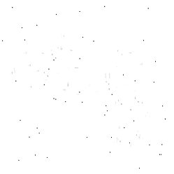 COc1ncncc1-c1ncc(-c2ccco2)c(NCc2ccc(-c3nc(C(F)(F)F)cn3C(C)C)cc2)n1